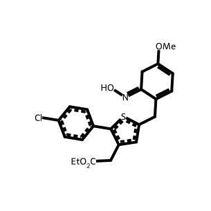 CCOC(=O)Cc1cc(CC2=CC=C(OC)CC2=NO)sc1-c1ccc(Cl)cc1